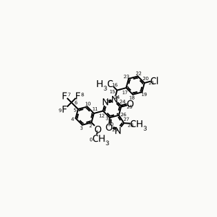 COc1ccc(C(F)(F)F)cc1-c1nn(C(C)c2ccc(Cl)cc2)c(=O)c2c(C)noc12